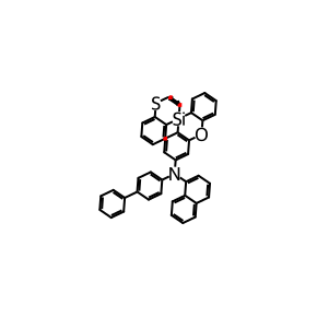 c1ccc(-c2ccc(N(c3ccc4c(c3)Oc3ccccc3[Si]43c4ccccc4Sc4ccccc43)c3cccc4ccccc34)cc2)cc1